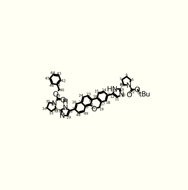 CC(C)(C)OC(=O)N1CCC[C@H]1c1ncc(-c2ccc3c(c2)COc2c-3ccc3cc(-c4cnc([C@@H]5CCCN5C(=O)OCc5ccccc5)[nH]4)ccc23)[nH]1